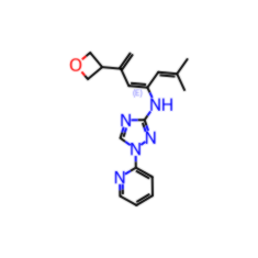 C=C(/C=C(\C=C(C)C)Nc1ncn(-c2ccccn2)n1)C1COC1